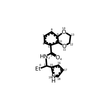 CCC(NC(=O)c1cccc2c1OCCO2)c1ccc[nH]1